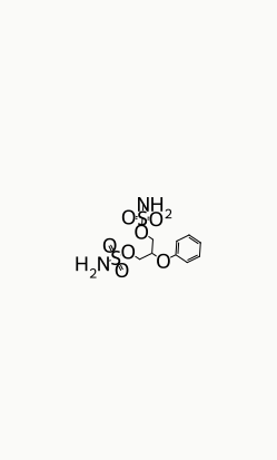 NS(=O)(=O)OCC(COS(N)(=O)=O)Oc1ccccc1